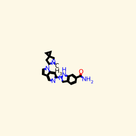 CN1CC2(CC2)C[C@H]1n1ccc2cnc(N3Cc4ccc(C(N)=O)cc4N3)cc21